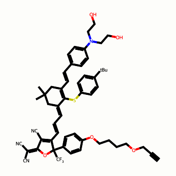 C#CCOCCCCOc1ccc(C2(C(F)(F)F)OC(=C(C#N)C#N)C(C#N)=C2/C=C/C=C2\CC(C)(C)CC(/C=C/c3ccc(N(CCO)CCO)cc3)=C2Sc2ccc(C(C)(C)C)cc2)cc1